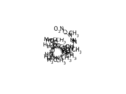 CO[C@]1(C)C[C@H](O[C@H]2[C@H](C)[C@@H](O[C@@H]3O[C@H](C)C[C@H](N(C)CCc4cn(CCN(C)Cc5ccc([N+](=O)[O-])cc5)nn4)[C@H]3O)[C@](C)(O)C[C@@H](C)CN(C)[C@H](C)[C@@H](O)[C@](C)(O)[C@@H](I)OC(=O)[C@@H]2C)O[C@@H](C)[C@@H]1O